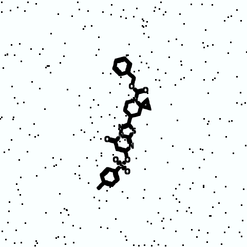 Cc1ccc(S(=O)(=O)Oc2cc(=O)n3nc(C4CCN(C(=O)OCc5ccccc5)C5(CC5)C4)sc3n2)cc1